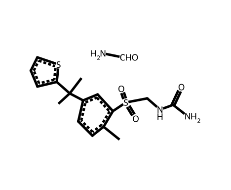 Cc1ccc(C(C)(C)c2cccs2)cc1S(=O)(=O)CNC(N)=O.NC=O